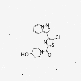 O=C(c1nc(-c2cnn3ccccc23)c(Cl)s1)N1CCC(O)CC1